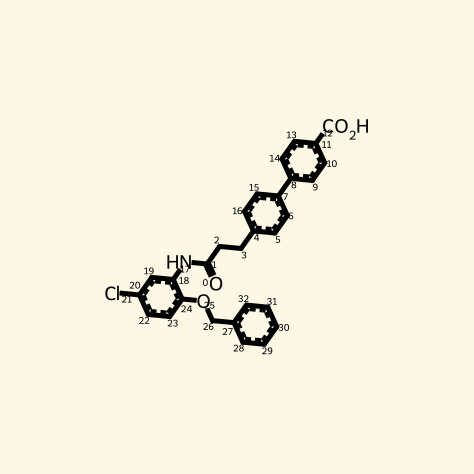 O=C(CCc1ccc(-c2ccc(C(=O)O)cc2)cc1)Nc1cc(Cl)ccc1OCc1ccccc1